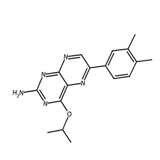 Cc1ccc(-c2cnc3nc(N)nc(OC(C)C)c3n2)cc1C